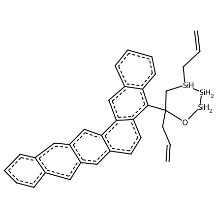 C=CC[SiH]1CC(CC=C)(c2c3ccccc3cc3c2ccc2cc4cc5ccccc5cc4cc23)O[SiH2][SiH2]1